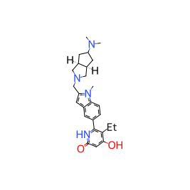 CCc1c(O)cc(=O)[nH]c1-c1ccc2c(c1)cc(CN1C[C@H]3CC(N(C)C)C[C@H]3C1)n2C